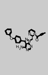 CC#CC(=O)N1C=CC=N[C@@H]1Cn1nc(-c2ccc(Oc3ccccc3)cc2)c2c(N)ncnc21